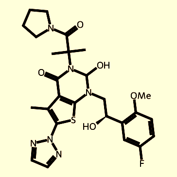 COc1ccc(F)cc1[C@@H](O)CN1c2sc(-n3nccn3)c(C)c2C(=O)N(C(C)(C)C(=O)N2CCCC2)C1O